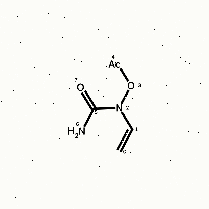 C=CN(OC(C)=O)C(N)=O